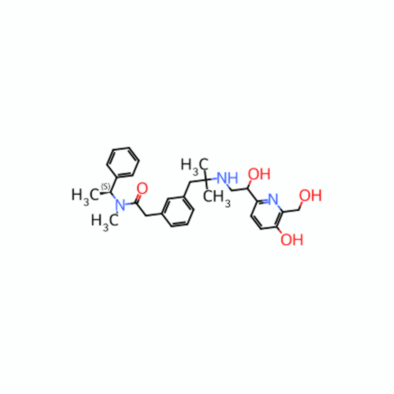 C[C@@H](c1ccccc1)N(C)C(=O)Cc1cccc(CC(C)(C)NCC(O)c2ccc(O)c(CO)n2)c1